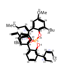 C=C/C(=c1/op(Oc2c(C(/C=C\CC)=C/C)cccc2-c2ccccc2)oc2c(C(C)(C)C)cc(OC)cc2/c1=C/COC)C(C)(C)C